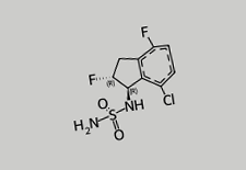 NS(=O)(=O)N[C@@H]1c2c(Cl)ccc(F)c2C[C@H]1F